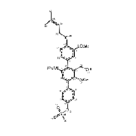 COc1cc(-c2c(OC)cc(-c3ccc(OS(C)(=O)=O)cc3)c(OC)c2CO)ccc1OCC=C(C)C